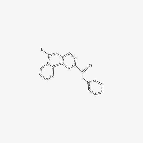 O=C(C[n+]1ccccc1)c1ccc2cc(I)c3ccccc3c2c1